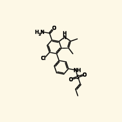 CC=CS(=O)(=O)Nc1cccc(-c2c(Cl)cc(C(N)=O)c3[nH]c(C)c(C)c23)c1